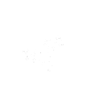 CC(C)(C)OC(=O)c1cc(CBr)cc(OS(C)(=O)=O)c1